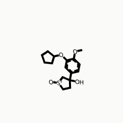 COc1ccc(C2(O)CC[S+]([O-])C2)cc1OC1CCCC1